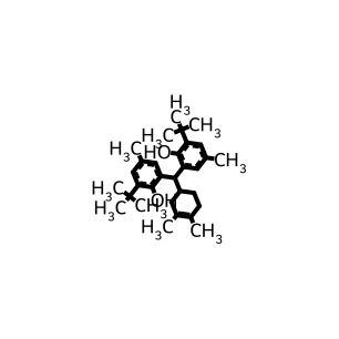 CC1=C(C)CC(C(c2cc(C)cc(C(C)(C)C)c2O)c2cc(C)cc(C(C)(C)C)c2O)CC1